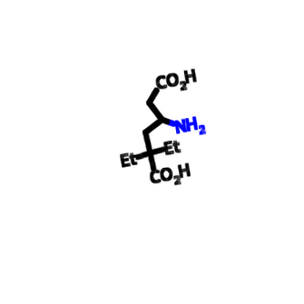 CCC(CC)(CC(N)CC(=O)O)C(=O)O